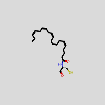 CC/C=C\C/C=C\C/C=C\C/C=C\C/C=C\CCCC(=O)N[C@@H](C=O)CS